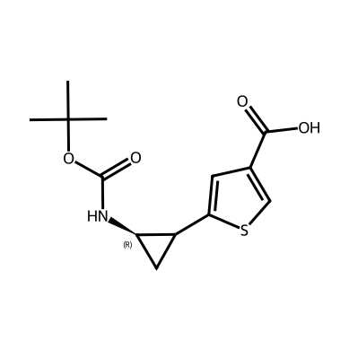 CC(C)(C)OC(=O)N[C@@H]1CC1c1cc(C(=O)O)cs1